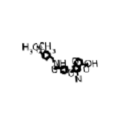 CN(C)Cc1ccc(CCNC(=O)c2ccc(Oc3cc4c(cc3C#N)C(C(=O)O)CCO4)cc2)cc1